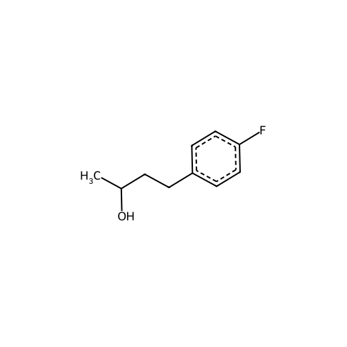 CC(O)CCc1ccc(F)cc1